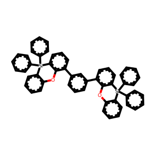 c1ccc([Si]2(c3ccccc3)c3ccccc3Oc3c(-c4cccc(-c5cccc6c5Oc5ccccc5[Si]6(c5ccccc5)c5ccccc5)c4)cccc32)cc1